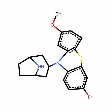 COc1ccc2c(c1)N(C1CC3CCC(C1)N3)c1ccc(Br)cc1S2